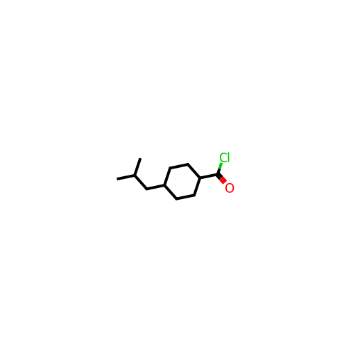 CC(C)CC1CCC(C(=O)Cl)CC1